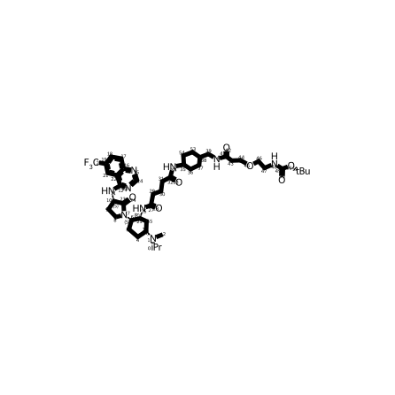 CC(C)N(C)[C@@H]1CC[C@H](N2CC[C@H](Nc3ncnc4ccc(C(F)(F)F)cc34)C2=O)[C@H](NC(=O)CCCC(=O)NC2CCC(CNC(=O)CCOCCNC(=O)OC(C)(C)C)CC2)C1